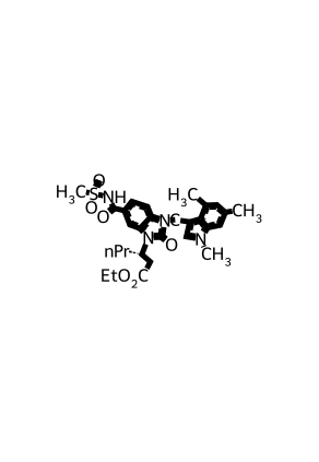 CCC[C@@H](CC(=O)OCC)n1c(=O)n(Cc2cn(C)c3cc(C)cc(C)c23)c2ccc(C(=O)NS(C)(=O)=O)cc21